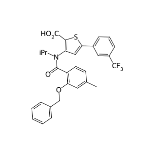 Cc1ccc(C(=O)N(c2cc(-c3cccc(C(F)(F)F)c3)sc2C(=O)O)C(C)C)c(OCc2ccccc2)c1